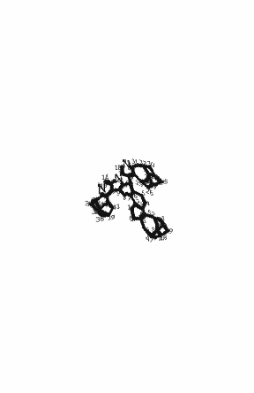 c1cc2c(ccc3c2cc2c4c5c(ncc4n4c6cnc7c(c6c3c24)C2CC3CC4CC7CC43C2)C2CC3CC(C2)CC5C3)c2c1C1CC3CC4CC2CC34C1